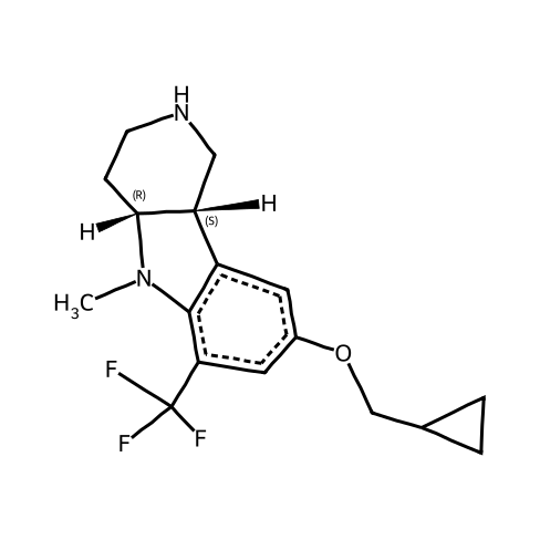 CN1c2c(cc(OCC3CC3)cc2C(F)(F)F)[C@H]2CNCC[C@H]21